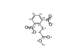 COC(=O)CSc1c([N+](=O)[O-])cccc1[N+](=O)[O-]